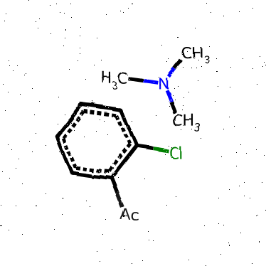 CC(=O)c1ccccc1Cl.CN(C)C